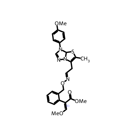 CO/C=C(/C(=O)OC)c1ccccc1CON=CCC1=C(C)SC2N1N=CN2c1ccc(OC)cc1